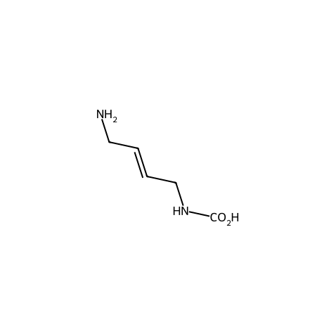 NC/C=C/CNC(=O)O